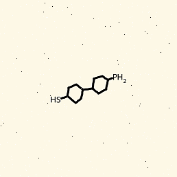 PC1CCC(C2CCC(S)CC2)CC1